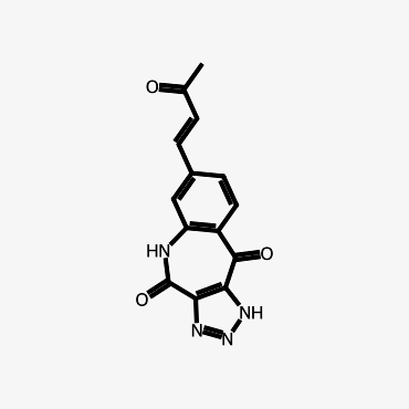 CC(=O)/C=C/c1ccc2c(=O)c3[nH]nnc3c(=O)[nH]c2c1